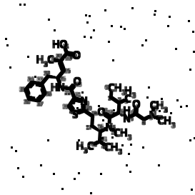 CCC(C)[C@H](NC(=O)CN(C)C)C(=O)N(C)[C@H](CCc1nc(C(=O)N[C@H](/C=C(\C)C(=O)O)Cc2ccccc2)cs1)C(C)C